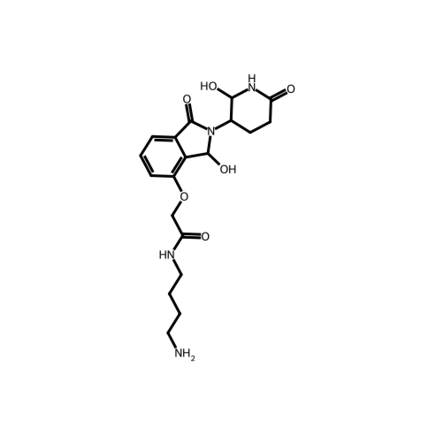 NCCCCNC(=O)COc1cccc2c1C(O)N(C1CCC(=O)NC1O)C2=O